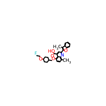 Cc1c(-c2cc(C(=O)O)c3c(OCC4CCC(OCCF)CC4)ccc(C)c3n2)oc2ccccc12